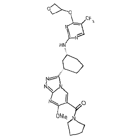 COc1nc2nnc([C@H]3CCC[C@@H](Nc4ncc(C(F)(F)F)c(OC5COC5)n4)C3)n2cc1C(=O)N1CCCC1